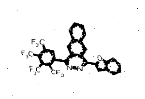 FC(F)(F)c1cc(-c2nnc(-c3cc4ccccc4o3)c3cc4ccccc4cc23)c(C(F)(F)F)c(C(F)(F)F)c1C(F)(F)F